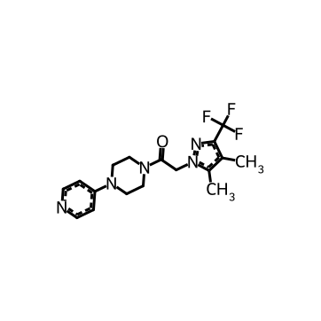 Cc1c(C(F)(F)F)nn(CC(=O)N2CCN(c3ccncc3)CC2)c1C